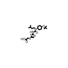 CC(C)CCN(C(=O)Nc1ncc(SCC(=O)O)s1)[C@H]1CC[C@H](OC(C)(C)C)CC1